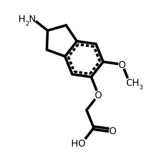 COc1cc2c(cc1OCC(=O)O)CC(N)C2